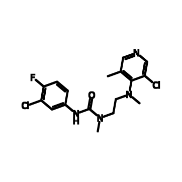 Cc1cncc(Cl)c1N(C)CCN(C)C(=O)Nc1ccc(F)c(Cl)c1